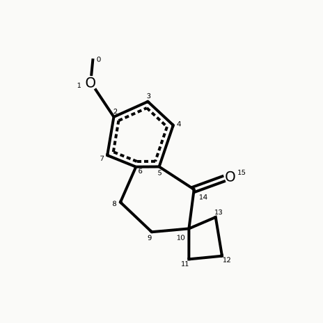 COc1ccc2c(c1)CCC1(CCC1)C2=O